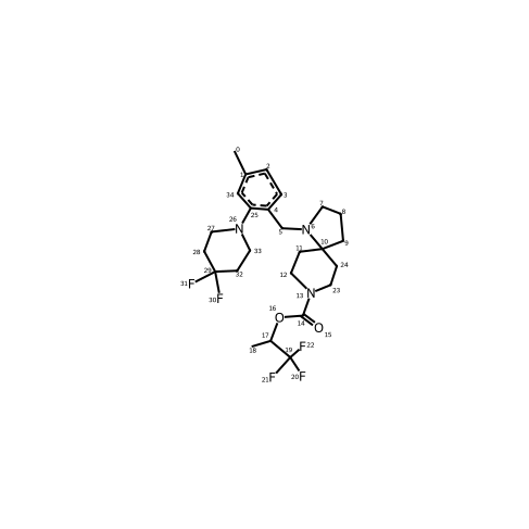 Cc1ccc(CN2CCCC23CCN(C(=O)OC(C)C(F)(F)F)CC3)c(N2CCC(F)(F)CC2)c1